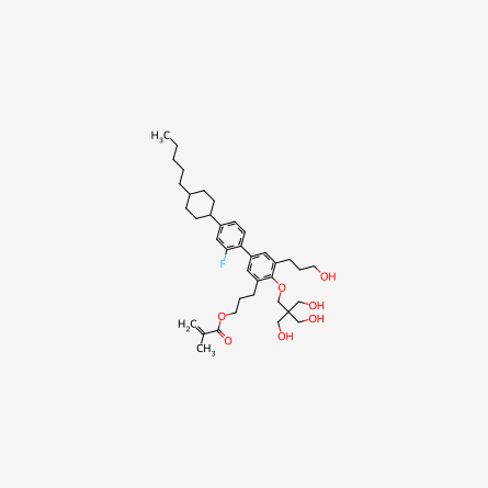 C=C(C)C(=O)OCCCc1cc(-c2ccc(C3CCC(CCCCC)CC3)cc2F)cc(CCCO)c1OCC(CO)(CO)CO